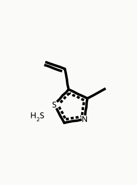 C=Cc1scnc1C.S